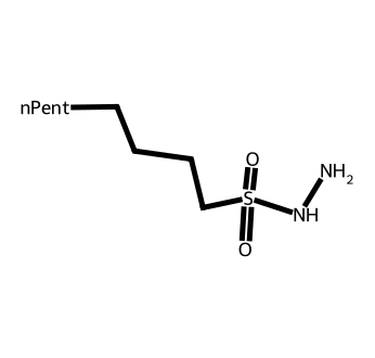 CCCCCCCCCS(=O)(=O)NN